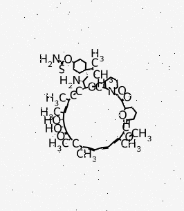 CO[C@H]1C[C@@H]2CCCC(O2)C(=O)C(=O)N2CCCC[C@H]2CO[C@H]([C@H](N)C[C@]2(C(C)C)CC[C@@H](OC(N)=S)CC2)CCC(C)/C=C(\C)[C@@H](O)[C@@H](O)C(=O)[C@H](C)C[C@H](C)/C=C/C=C/C=C/1C